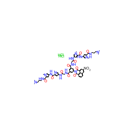 CN(C)CCCNC(=O)c1cc(NC(=O)c2cc(NC(=O)CNC(=O)c3cc(C(=O)NCC(=O)Nc4cc(C(=O)Nc5cc(C(=O)NCCCN(C)C)n(C)c5)n(C)c4)cc(N4C(=O)c5cccc6cc([N+](=O)[O-])cc(c56)C4=O)c3)cn2C)cn1C.Cl.Cl